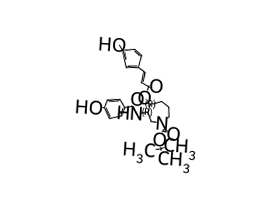 CC(C)(C)OC(=O)N1CCC[C@@H](OC(=O)C=Cc2ccc(O)cc2)[C@H](NC(=O)c2ccc(O)cc2)C1